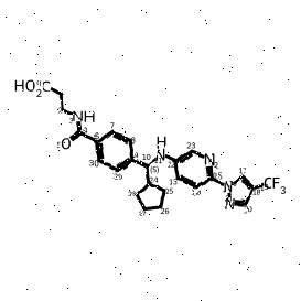 O=C(O)CCNC(=O)c1ccc([C@@H](Nc2ccc(-n3cc(C(F)(F)F)cn3)nc2)C2CCCC2)cc1